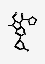 CN1c2nc(-c3cccc(F)c3)ncc2N(C(=O)N2CCCC2)C1C=O